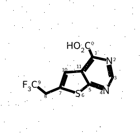 O=C(O)c1ncnc2sc(CC(F)(F)F)cc12